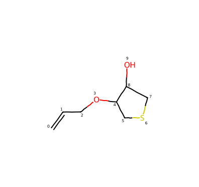 C=CCOC1CSCC1O